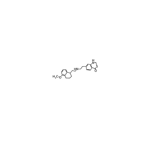 COc1cccc2c1CCCC2CCNCCc1ccc2c(c1)NCSC2=O